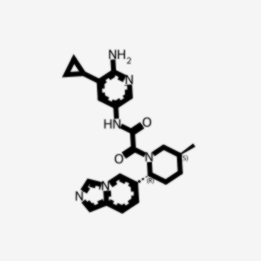 C[C@H]1CC[C@H](c2ccc3cncn3c2)N(C(=O)C(=O)Nc2cnc(N)c(C3CC3)c2)C1